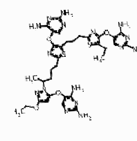 CCOc1cc(Oc2cnc(N)nc2N)n(C(C)CCCc2nc(Oc3cnc(N)nc3N)c(CCCc3nc(Oc4cnc(N)nc4N)c(CC)s3)s2)n1